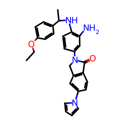 CCOc1ccc(C(C)Nc2ccc(N3Cc4cc(-n5cccc5)ccc4C3=O)cc2N)cc1